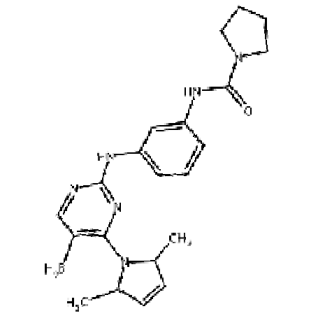 Bc1cnc(Nc2cccc(NC(=O)N3CCCC3)c2)nc1N1C(C)C=CC1C